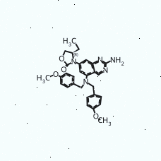 CC[C@@H]1COC(=O)N1c1cc(N(Cc2ccc(OC)cc2)Cc2ccc(OC)cc2)c2cnc(N)nc2c1